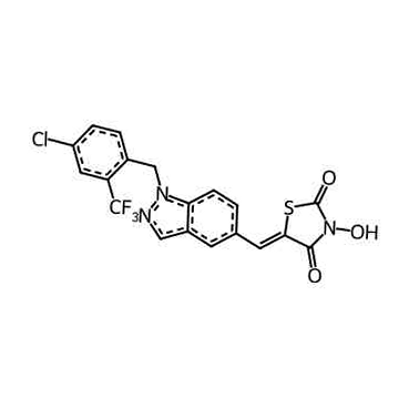 O=C1S/C(=C\c2ccc3c(cnn3Cc3ccc(Cl)cc3C(F)(F)F)c2)C(=O)N1O